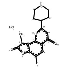 Cl.Cn1c(=O)oc2c(F)cc3c(=O)cc(C4CCNCC4)oc3c21